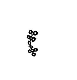 c1ccc(-c2c3ccccc3c(-c3ccc4c(c3)oc3ccc(-c5c6ccccc6c(-n6c7ccccc7c7ccccc76)c6ccccc56)cc34)c3ccccc23)cc1